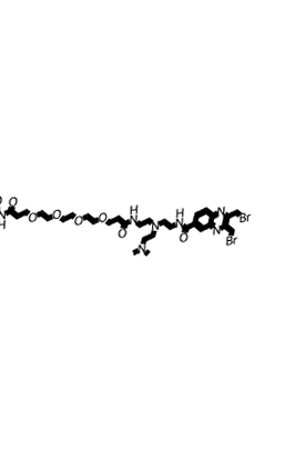 CC(C)[C@@H](C=O)NC(=O)CCOCCOCCOCCOCCC(=O)NCCN(CCNC(=O)c1ccc2nc(CBr)c(CBr)nc2c1)CCN(C)C